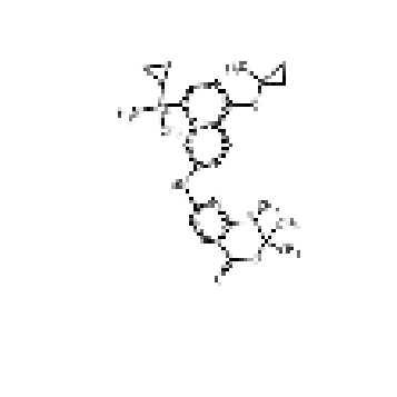 C[C@@H]1c2nc(Nc3cc4c([C@](C)(N)C5CC5)cnc(OC5(C)CC5)c4cn3)ccc2C(=O)OC1(C)C